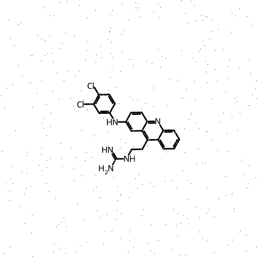 N=C(N)NCCc1c2ccccc2nc2ccc(Nc3ccc(Cl)c(Cl)c3)cc12